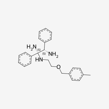 Cc1ccc(COCCN[C@@](N)(c2ccccc2)[C@@H](N)c2ccccc2)cc1